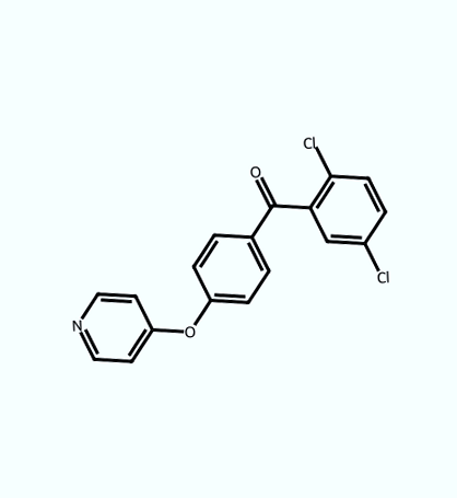 O=C(c1ccc(Oc2ccncc2)cc1)c1cc(Cl)ccc1Cl